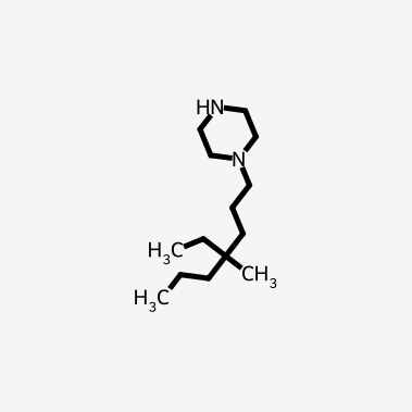 CCCC(C)(CC)CCCN1CCNCC1